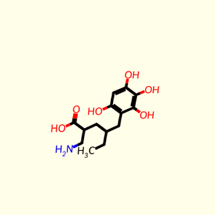 CCC(Cc1c(O)cc(O)c(O)c1O)CC(CN)C(=O)O